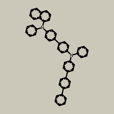 c1ccc(-c2ccc(-c3ccc(N(c4ccccc4)c4ccc(-c5ccc(N(c6ccccc6)c6cccc7ccccc67)cc5)cc4)cc3)cc2)cc1